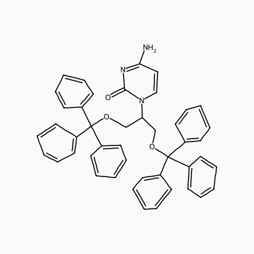 Nc1ccn(C(COC(c2ccccc2)(c2ccccc2)c2ccccc2)COC(c2ccccc2)(c2ccccc2)c2ccccc2)c(=O)n1